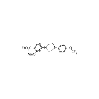 CCOC(=O)c1cnc(N2CCN(c3ccc(OC(F)(F)F)cc3)CC2)nc1OC